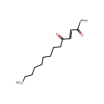 CCCCCC(=O)C=CC(=O)CCCCCCCCC(=O)O